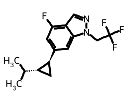 CC(C)[C@H]1C[C@@H]1c1cc(F)c2cnn(CC(F)(F)F)c2c1